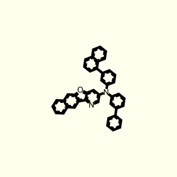 c1ccc(-c2cccc(N(c3cccc(-c4cccc5ccccc45)c3)c3cnc4c(c3)oc3cc5ccccc5cc34)c2)cc1